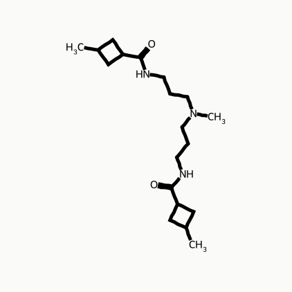 CC1CC(C(=O)NCCCN(C)CCCNC(=O)C2CC(C)C2)C1